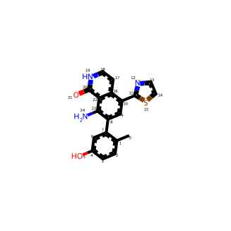 Cc1ccc(O)cc1-c1cc(-c2nccs2)c2cc[nH]c(=O)c2c1N